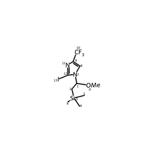 COC(C[Si](C)(C)C)n1cc(C(F)(F)F)nc1I